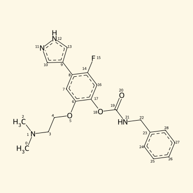 CN(C)CCOc1cc(-c2cn[nH]c2)c(F)cc1OC(=O)NCc1ccccc1